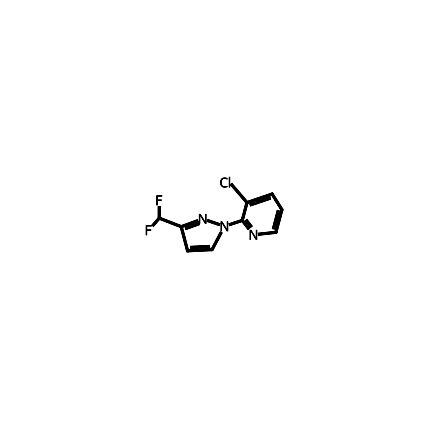 FC(F)c1ccn(-c2ncccc2Cl)n1